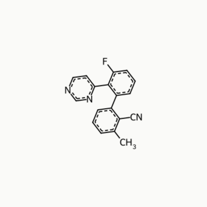 Cc1cccc(-c2cccc(F)c2-c2ccncn2)c1C#N